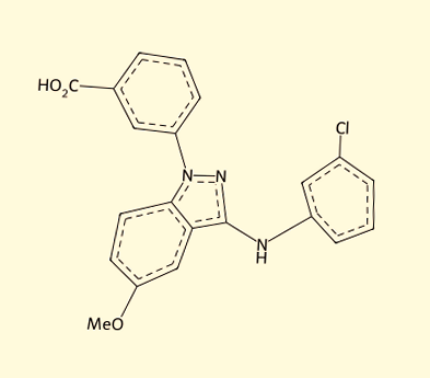 COc1ccc2c(c1)c(Nc1cccc(Cl)c1)nn2-c1cccc(C(=O)O)c1